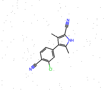 Cc1[nH]c(C#N)c(C)c1-c1ccc(C#N)c(Cl)c1